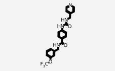 O=C(NCc1ccncc1)Nc1ccc(C(=O)NCc2cccc(OC(F)(F)F)c2)cc1